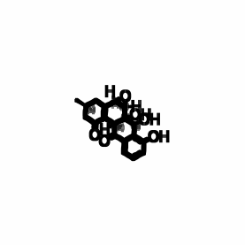 C[C@@H]1CC(=O)C2=C(C1)[C@H]1O[C@H]1[C@@]1(O)[C@@H]2C(=O)c2cccc(O)c2[C@@H]1O